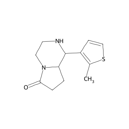 Cc1sccc1C1NCCN2C(=O)CCC12